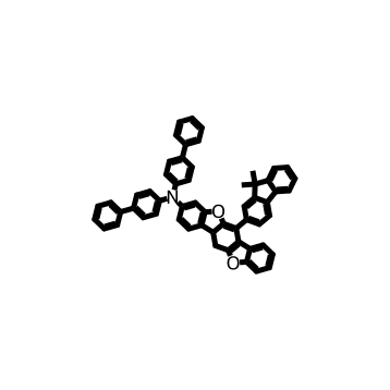 CC1(C)c2ccccc2-c2ccc(C3=C4Oc5cc(N(c6ccc(-c7ccccc7)cc6)c6ccc(-c7ccccc7)cc6)ccc5C4Cc4oc5ccccc5c43)cc21